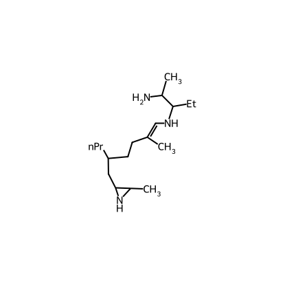 CCCC(CC/C(C)=C/NC(CC)C(C)N)CC1NC1C